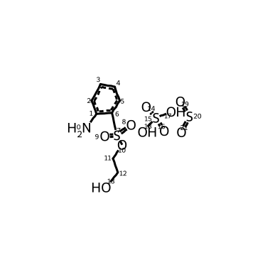 Nc1ccccc1S(=O)(=O)OCCO.O=S(=O)(O)O.O=S=O